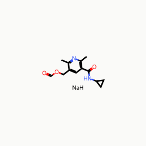 Cc1nc(C)c(C(=O)NC2CC2)cc1COC=O.[NaH]